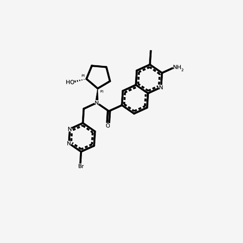 Cc1cc2cc(C(=O)N(Cc3ccc(Br)nn3)[C@@H]3CCC[C@H]3O)ccc2nc1N